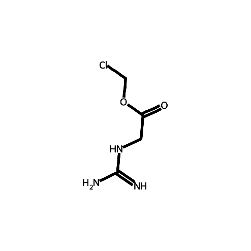 N=C(N)NCC(=O)OCCl